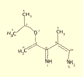 C=C(OC(C)C)C(=N)/C(C)=C\N